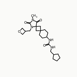 CN1C(=O)N(CC2COC2)C2(CC3(CCC(NC(=O)NCC4CCCC4)CC3)C2)C1=O